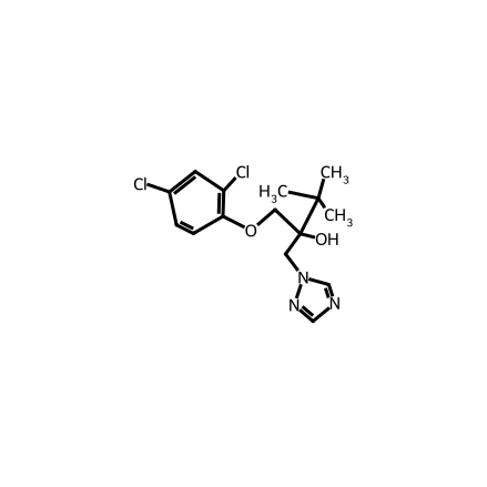 CC(C)(C)C(O)(COc1ccc(Cl)cc1Cl)Cn1cncn1